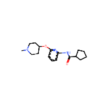 CN1CCC(Oc2cccc(NC(=O)C3CCCC3)n2)CC1